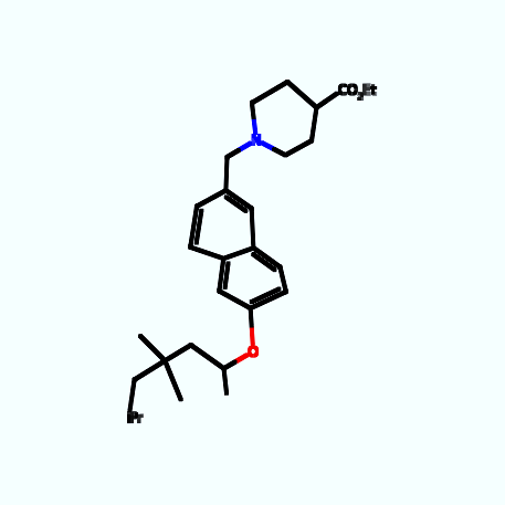 CCOC(=O)C1CCN(Cc2ccc3cc(OC(C)CC(C)(C)CC(C)C)ccc3c2)CC1